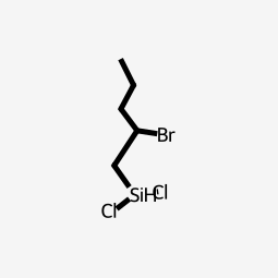 CCCC(Br)C[SiH](Cl)Cl